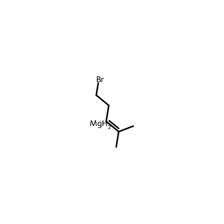 CC(C)=CCCBr.[MgH2]